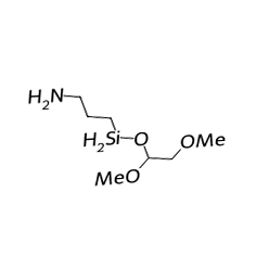 COCC(OC)O[SiH2]CCCN